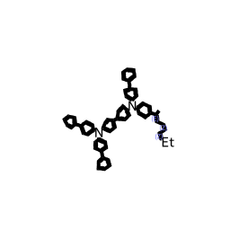 CC\C=C/C=C\C=C(/C)c1ccc(N(c2ccc(-c3ccccc3)cc2)c2ccc(-c3ccc(N(c4ccc(-c5ccccc5)cc4)c4ccc(-c5ccccc5)cc4)cc3)cc2)cc1